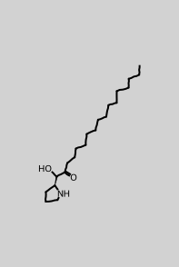 CCCCCCCCCCCCCCCC(=O)C(O)[C@@H]1CCCN1